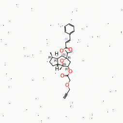 C#CCOCC(=O)O[C@@H]1C[C@]2(C(C)C)O[C@@]1(C)[C@@H]1CC[C@@H](C)[C@H]1[C@@H]2OC(=O)/C=C/c1ccccc1